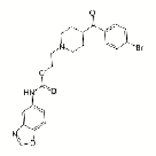 O=C(Nc1ccc2ocnc2c1)OCCN1CCC(C(=O)c2ccc(Br)cc2)CC1